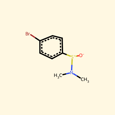 CN(C)[S+]([O-])c1ccc(Br)cc1